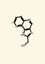 OCc1nc2cnc3cccnc3c2[nH]1